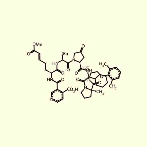 COC(=O)/C=C/CC[C@H](NC(=O)c1cnccc1C(=O)O)C(=O)N[C@H](C(=O)N1CC(=O)C[C@H]1C(=O)N[C@H](C(=O)N1CCC[C@@]1(C)C(=O)N[C@H](C)COc1c(C)cccc1C)C1CCCCC1)C(C)(C)C